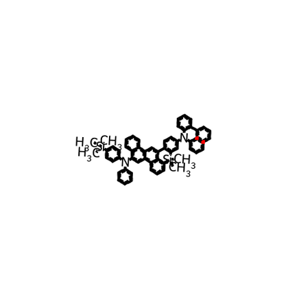 C[Si](C)(C)c1ccc(N(c2ccccc2)c2cc3c4cccc5c4c(cc3c3ccccc23)-c2ccc(N(c3ccccc3)c3ccccc3-c3ccccc3)cc2[Si]5(C)C)cc1